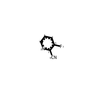 N#Cc1nc[c]cc1F